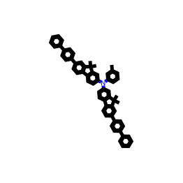 Cc1cccc(N(c2ccc3c(c2)C(C)(C)c2cc(-c4ccc(-c5ccccc5)cc4)ccc2-3)c2ccc3c(c2)C(C)(C)c2cc(-c4ccc(-c5ccccc5)cc4)ccc2-3)c1